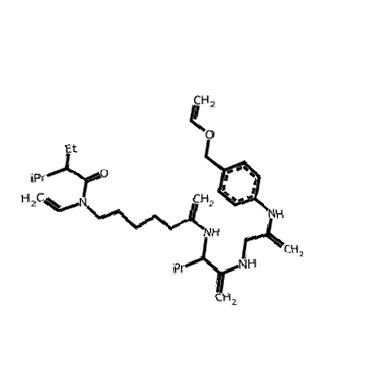 C=COCc1ccc(NC(=C)CNC(=C)C(NC(=C)CCCCCN(C=C)C(=O)C(CC)C(C)C)C(C)C)cc1